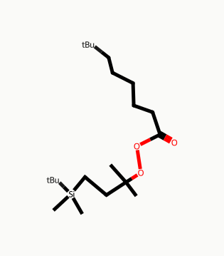 CC(C)(C)CCCCCC(=O)OOC(C)(C)CC[Si](C)(C)C(C)(C)C